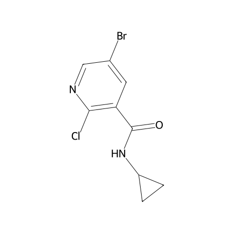 O=C(NC1CC1)c1cc(Br)cnc1Cl